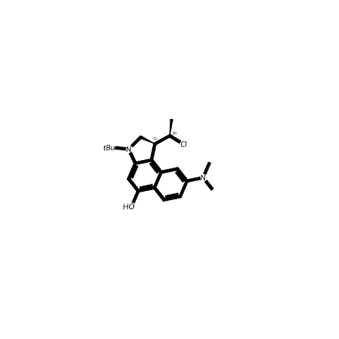 C[C@@H](Cl)[C@@H]1CN(C(C)(C)C)c2cc(O)c3ccc(N(C)C)cc3c21